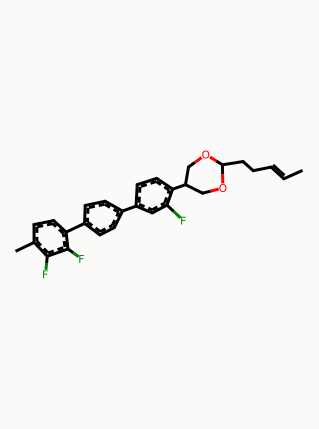 C/C=C/CCC1OCC(c2ccc(-c3ccc(-c4ccc(C)c(F)c4F)cc3)cc2F)CO1